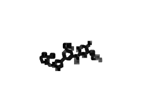 COc1nc(Nc2cc(C)cc(-c3cnn(CN4CCOC4=O)c3)c2)ncc1F